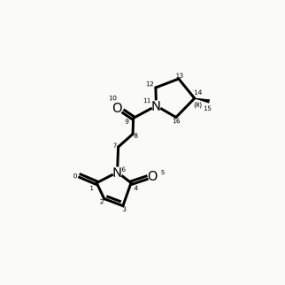 C=C1C=CC(=O)N1CCC(=O)N1CC[C@@H](C)C1